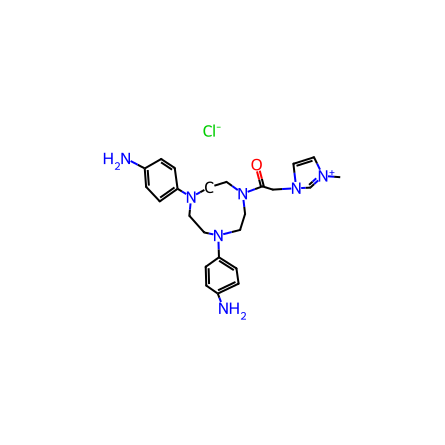 C[n+]1ccn(CC(=O)N2CCN(c3ccc(N)cc3)CCN(c3ccc(N)cc3)CC2)c1.[Cl-]